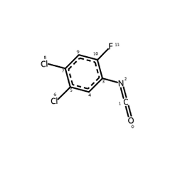 O=C=Nc1cc(Cl)c(Cl)cc1F